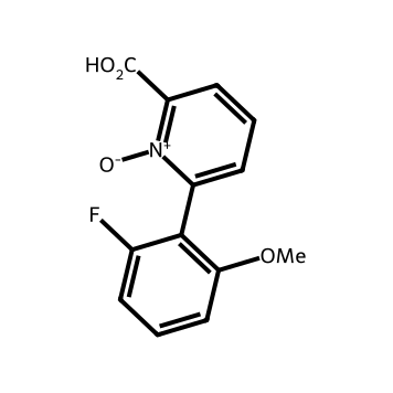 COc1cccc(F)c1-c1cccc(C(=O)O)[n+]1[O-]